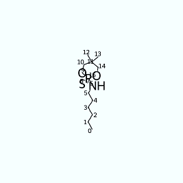 CCCCCCNP1(=S)OCC(C)(C)CO1